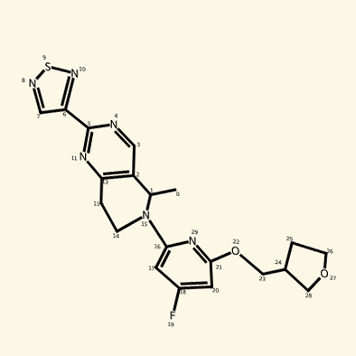 CC1c2cnc(-c3cnsn3)nc2CCN1c1cc(F)cc(OCC2CCOC2)n1